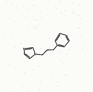 [c]1ccc(CCCn2ccnc2)cc1